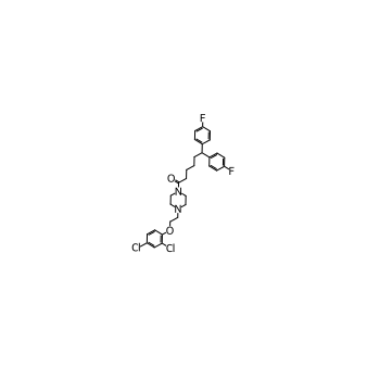 O=C(CCCCC(c1ccc(F)cc1)c1ccc(F)cc1)N1CCN(CCOc2ccc(Cl)cc2Cl)CC1